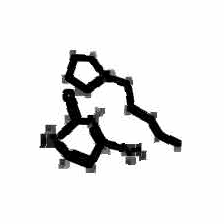 CCCCCN1CCCC1.Nc1cc[nH]c(=O)n1